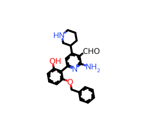 Nc1nc(-c2c(O)cccc2OCc2ccccc2)cc(C2CCCNC2)c1C=O